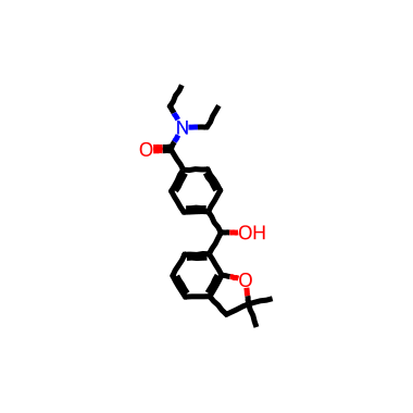 CCN(CC)C(=O)c1ccc(C(O)c2cccc3c2OC(C)(C)C3)cc1